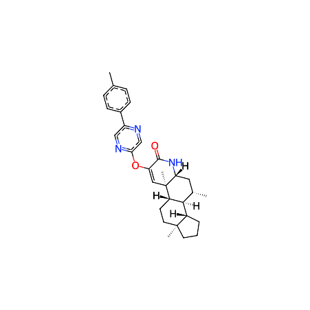 Cc1ccc(-c2cnc(OC3=C[C@@]4(C)[C@@H](C[C@H](C)[C@H]5[C@@H]6CCC[C@@]6(C)CC[C@@H]54)NC3=O)cn2)cc1